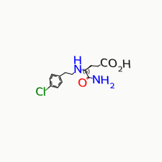 NC(=O)[C@H](CCC(=O)O)NCCc1ccc(Cl)cc1